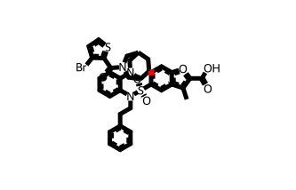 Cc1c(C(=O)O)oc2ccc(S(=O)(=O)N(CCc3ccccc3)c3ccccc3N3CC4CCC3CN(C(=O)c3sccc3Br)C4)cc12